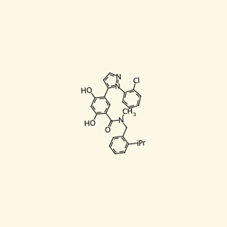 CC(C)c1ccccc1CN(C)C(=O)c1cc(-c2ccnn2-c2ccccc2Cl)c(O)cc1O